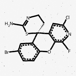 NC1=NCC[C@@]2(S1)c1cc(Br)ccc1Oc1c2cc(Cl)nc1F